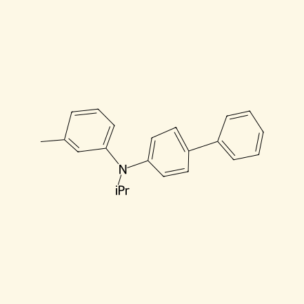 Cc1cccc(N(c2ccc(-c3ccccc3)cc2)C(C)C)c1